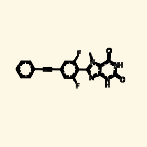 Cn1c(-c2c(F)cc(C#Cc3ccccc3)cc2F)nc2[nH]c(=O)[nH]c(=O)c21